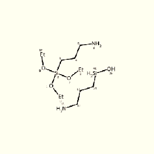 CCO[Si](CCCN)(OCC)OCC.NCCC[SiH2]O